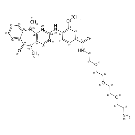 COc1cc(C(=O)NCCOCCOCCOCCN)ccc1Nc1ncc2c(n1)N(C)c1ccccc1C(=O)N2C